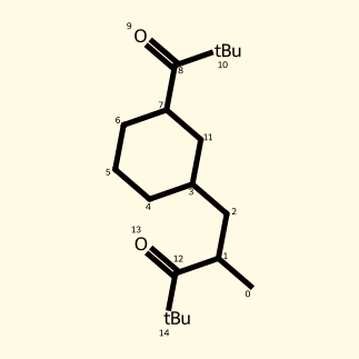 CC(CC1CCCC(C(=O)C(C)(C)C)C1)C(=O)C(C)(C)C